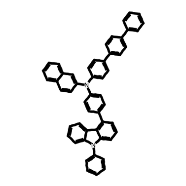 c1ccc(-c2ccc(-c3ccc(N(c4ccc(-c5cccc6c5c5ccccc5n6-c5ccccc5)cc4)c4ccc5ccccc5c4)cc3)cc2)cc1